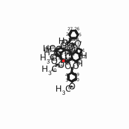 COc1ccc(C2O[C@H]3C[C@H]4CC[C@@]4(OC(C)=O)[C@H]4[C@H](OC(=O)c5ccccc5)[C@]5(O)C[C@H](O)C(C)=C([C@H](OC(C)=O)[C@H](O2)[C@]34C)C5(C)C)cc1